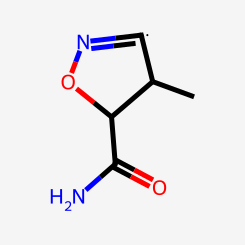 CC1[C]=NOC1C(N)=O